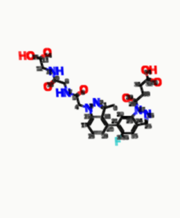 Cc1nn(CC(=O)NCC(=O)NCC(=O)O)c2cccc(-c3cc4c(cnn4C(=O)CCC(=O)O)cc3F)c12